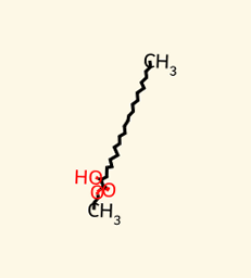 CCCCCCCCCCCCCCCCCCCCCCC(O)C(=O)OCCC